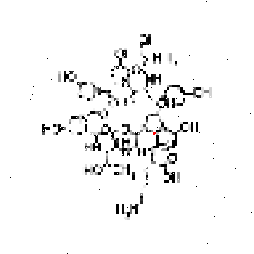 C[C@@H](O)[C@H](NC(=O)[C@@H]1C[C@@H](O)CN1C(=O)[C@@H]1C[C@@H](O)CN1C(=O)[C@@H]1C[C@@H](O)CN1C(=O)[C@H](Cc1ccc(O)cc1)NC(=O)[C@@H](N)CO)C(=O)N[C@@H](Cc1ccc(O)cc1)C(=O)N1C[C@H](O)C[C@H]1C(=O)N[C@@H](CCCCN)C(=O)O